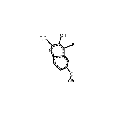 CCCCOc1ccc2nc(C(F)(F)F)c(O)c(Br)c2c1